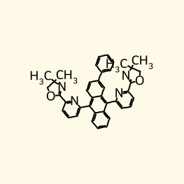 CC1(C)COC(c2cccc(-c3c4ccccc4c(-c4cccc(C5=NC(C)(C)CO5)n4)c4cc(-c5ccccc5)ccc34)n2)=N1